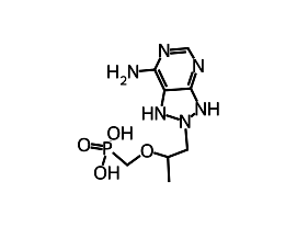 CC(CN1Nc2ncnc(N)c2N1)OCP(=O)(O)O